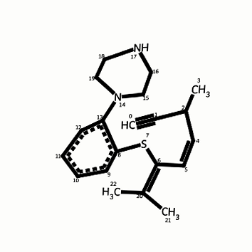 C#CC(C)/C=C\C(Sc1ccccc1N1CCNCC1)=C(C)C